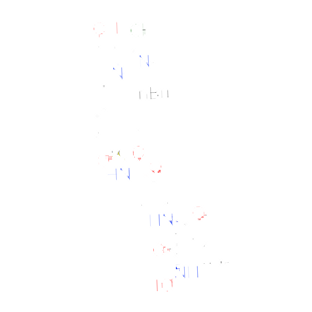 CCCCc1nc(Cl)c(CO)n1Cc1ccc(S(=O)(=O)NC(=O)CCNC(=O)C(CC(C)C)C(=O)NO)cc1